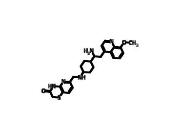 COc1cccc2c(CC(N)C3CCC(NCc4ccc5c(n4)NC(=O)CS5)CC3)ccnc12